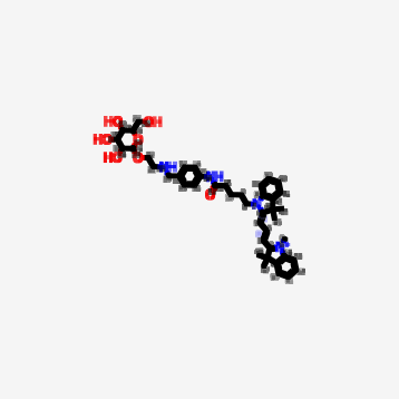 C[N+]1=C(/C=C/C=C2/N(CCCCC(=O)Nc3ccc(CNCCOC4OC(CO)C(O)C(O)C4O)cc3)c3ccccc3C2(C)C)C(C)(C)c2ccccc21